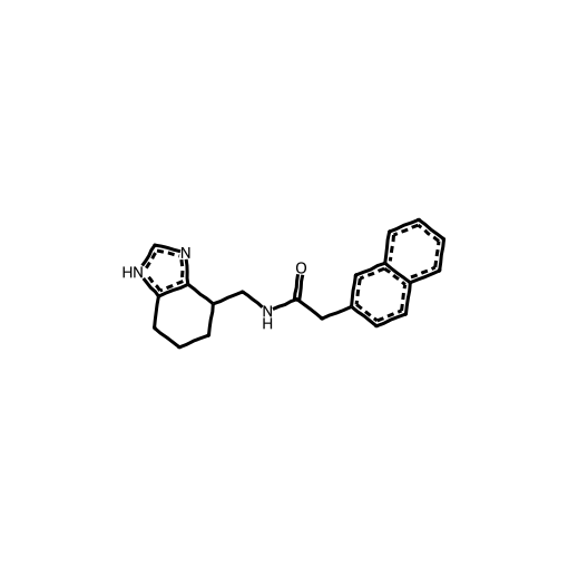 O=C(Cc1ccc2ccccc2c1)NCC1CCCc2[nH]cnc21